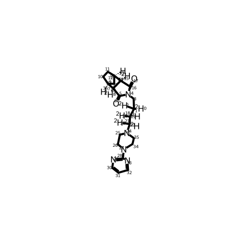 [2H]C([2H])(CN1C(=O)[C@@]2([2H])[C@H]3CC[C@H](C3)[C@@]2([2H])C1=O)C([2H])([2H])C([2H])([2H])N1CCN(c2ncccn2)CC1